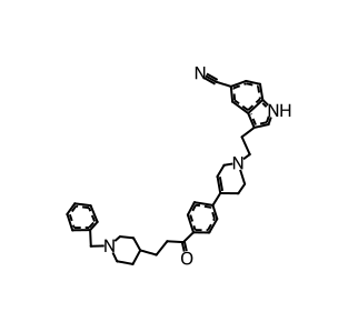 N#Cc1ccc2[nH]cc(CCN3CC=C(c4ccc(C(=O)CCC5CCN(Cc6ccccc6)CC5)cc4)CC3)c2c1